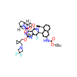 C#Cc1cccc2cc(NC(=O)OC(C)(C)C)cc(-c3nc4c5c(nc(OCC6(CN7CC(F)(F)C7)CC6)nc5c3F)N3C[C@H]5CC[C@@H]([C@H]3[C@H](C)O4)N5C(=O)OC(C)(C)C)c12